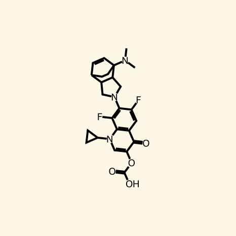 CN(C)C12C=CC(CC1)C1CN(c3c(F)cc4c(=O)c(OC(=O)O)cn(C5CC5)c4c3F)CC12